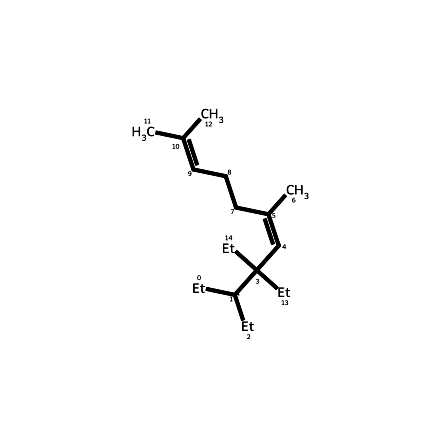 CC[C](CC)C(C=C(C)CCC=C(C)C)(CC)CC